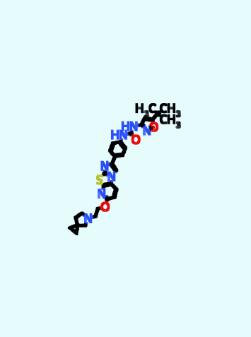 CC(C)(C)c1cc(NC(=O)Nc2ccc(-c3cn4c(n3)sc3nc(OCCN5CCC6(CC6)C5)ccc34)cc2)no1